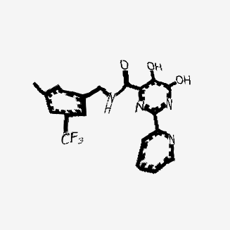 Cc1cc(CNC(=O)c2nc(-c3ccccn3)nc(O)c2O)cc(C(F)(F)F)c1